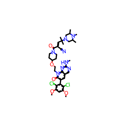 CNc1ncc2cc(-c3c(Cl)c(OC)cc(OC)c3Cl)c(=O)n(CCOC3CCN(C(=O)C(C#N)=CC(C)(C)N4CC(C)N(C)C(C)C4)CC3)c2n1